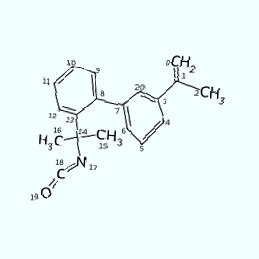 C=C(C)c1cccc(-c2ccccc2C(C)(C)N=C=O)c1